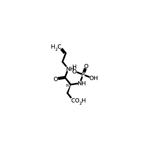 C=CCNC(=O)[C@H](CC(=O)O)NP(=O)(O)O